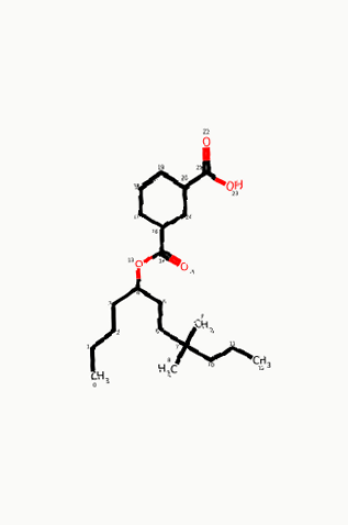 CCCCC(CCC(C)(C)CCC)OC(=O)C1CCCC(C(=O)O)C1